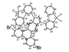 CC1(C)c2ccccc2-c2c(-c3sc(-c4cccc5c4-c4ccccc4C5(C)C)c4nc5c6cc(Br)ccc6c6ccc(Br)cc6c5nc34)cccc21